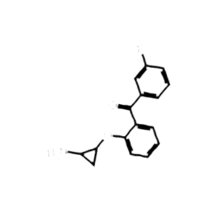 NC1CC1Oc1ccccc1C(=O)c1cccc(F)c1